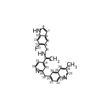 C=C(NCc1cc2cc[nH]c2cc1F)c1ccnc(Cc2ccc3ncc(C)cc3c2)c1